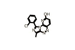 Cc1nc(-c2ccccc2Cl)n2c1nnc1ccc(O)nc12